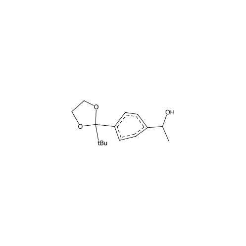 CC(O)c1ccc(C2(C(C)(C)C)OCCO2)cc1